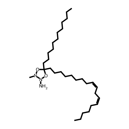 CCCCC/C=C\C/C=C\CCCCCCCCC1(CCCCCCCCCCCC)ON(C)N(N)O1